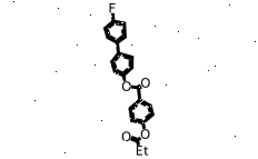 CCC(=O)Oc1ccc(C(=O)Oc2ccc(-c3ccc(F)cc3)cc2)cc1